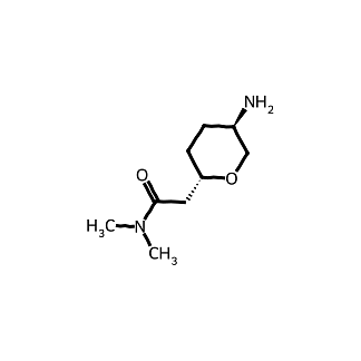 CN(C)C(=O)C[C@@H]1CC[C@@H](N)CO1